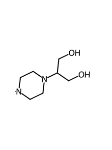 OCC(CO)N1CC[N]CC1